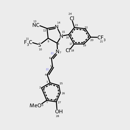 COc1cc(/C=C/C=N/C2C(SC(F)(F)F)C(C#N)=NN2c2c(Cl)cc(C(F)(F)F)cc2Cl)ccc1O